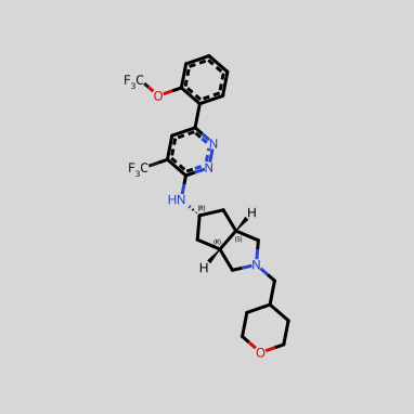 FC(F)(F)Oc1ccccc1-c1cc(C(F)(F)F)c(N[C@@H]2C[C@@H]3CN(CC4CCOCC4)C[C@@H]3C2)nn1